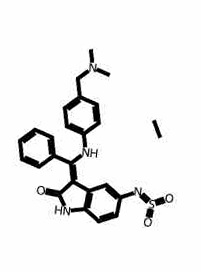 CC.CN(C)Cc1ccc(NC(=C2C(=O)Nc3ccc(N=S(=O)=O)cc32)c2ccccc2)cc1